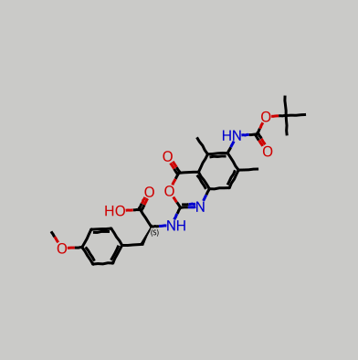 COc1ccc(C[C@H](Nc2nc3cc(C)c(NC(=O)OC(C)(C)C)c(C)c3c(=O)o2)C(=O)O)cc1